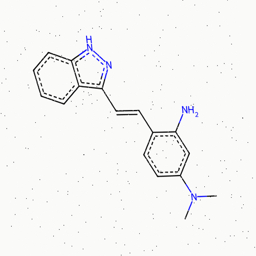 CN(C)c1ccc(C=Cc2n[nH]c3ccccc23)c(N)c1